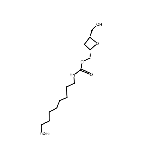 CCCCCCCCCCCCCCCCCCNC(=O)OC[C@@H]1C[C@@H](CO)O1